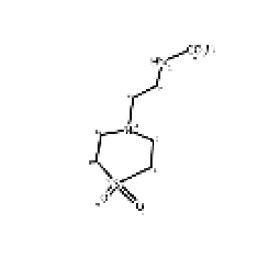 O=C(O)NCCN1CCS(=O)(=O)CC1